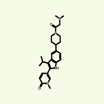 CC(C)c1c(-c2ccc(=O)n(C)c2)[nH]c2ccc(C3CCN(C(=O)CN(C)C)CC3)cc12